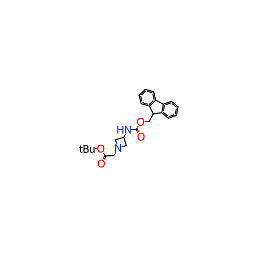 CC(C)(C)OC(=O)CN1CC(NC(=O)OCC2c3ccccc3-c3ccccc32)C1